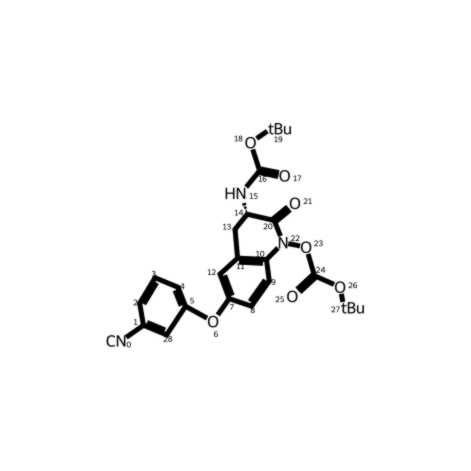 [C-]#[N+]c1cccc(Oc2ccc3c(c2)C[C@H](NC(=O)OC(C)(C)C)C(=O)N3OC(=O)OC(C)(C)C)c1